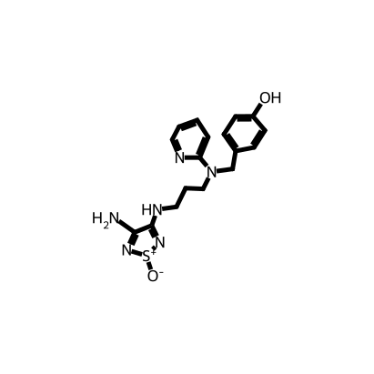 Nc1n[s+]([O-])nc1NCCCN(Cc1ccc(O)cc1)c1ccccn1